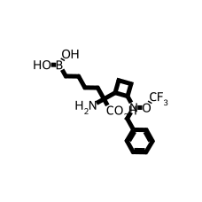 NC(CCCCB(O)O)(C(=O)O)C1CCC1N(Cc1ccccc1)OC(F)(F)F